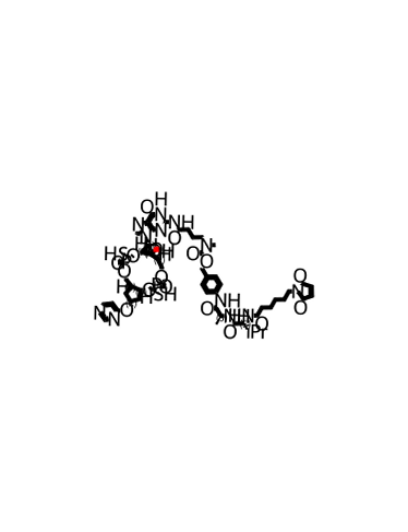 CC(C)[C@H](NC(=O)CCCCCN1C(=O)C=CC1=O)C(=O)N[C@@H](C)C(=O)Nc1ccc(COC(=O)N(C)CCCC(=O)Nc2nc3c(ncn3[C@@H]3O[C@@H]4CO[P@@](=O)(S)O[C@H]5C[C@H](Oc6ccncn6)C[C@@H]5COP(=O)(S)O[C@@H]3[C@@H]4O)c(=O)[nH]2)cc1